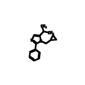 CC(C)c1cnc(-c2ccccc2)n1CC1CC1